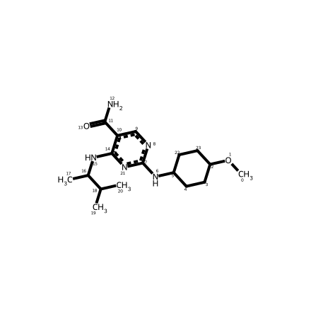 COC1CCC(Nc2ncc(C(N)=O)c(NC(C)C(C)C)n2)CC1